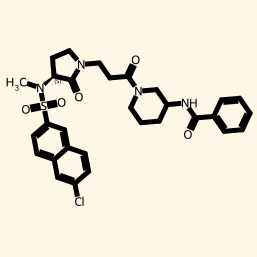 CN([C@H]1CCN(CCC(=O)N2CCCC(NC(=O)c3ccccc3)C2)C1=O)S(=O)(=O)c1ccc2cc(Cl)ccc2c1